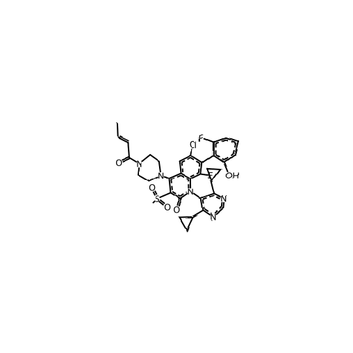 C/C=C/C(=O)N1CCN(c2c(S(C)(=O)=O)c(=O)n(-c3c(C4CC4)ncnc3C3CC3)c3c(F)c(-c4c(O)cccc4F)c(Cl)cc23)CC1